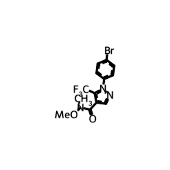 CON(C)C(=O)c1cnn(-c2ccc(Br)cc2)c1C(F)(F)F